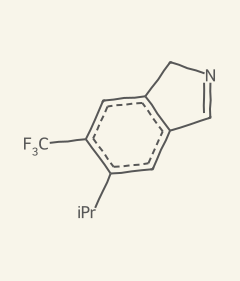 CC(C)c1cc2c(cc1C(F)(F)F)CN=C2